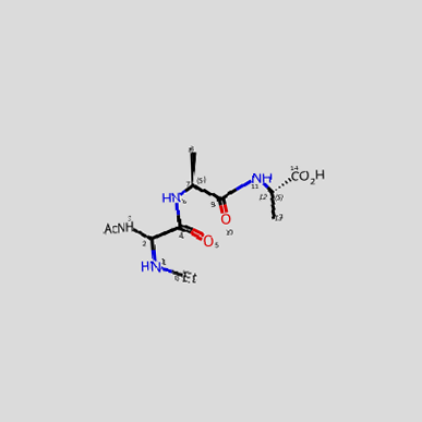 CCNC(NC(C)=O)C(=O)N[C@@H](C)C(=O)N[C@@H](C)C(=O)O